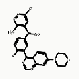 Cc1nnc(Cl)cc1C(N=O)c1ccc(F)c(-c2ncnc3cc(N4CCOCC4)ccc23)c1